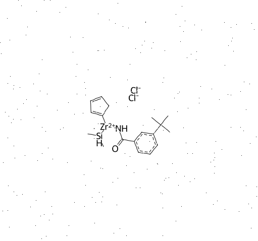 C[SiH](C)[Zr+2]([NH]C(=O)c1cccc(C(C)(C)C)c1)[C]1=CC=CC1.[Cl-].[Cl-]